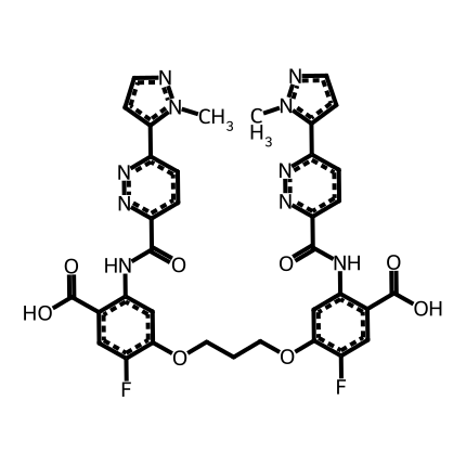 Cn1nccc1-c1ccc(C(=O)Nc2cc(OCCCOc3cc(NC(=O)c4ccc(-c5ccnn5C)nn4)c(C(=O)O)cc3F)c(F)cc2C(=O)O)nn1